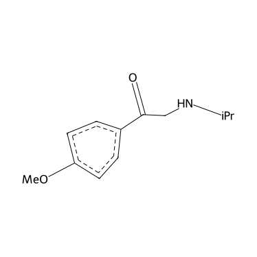 COc1ccc(C(=O)CNC(C)C)cc1